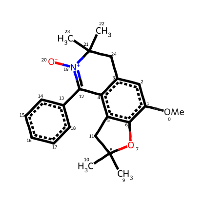 COc1cc2c(c3c1OC(C)(C)C3)C(c1ccccc1)=[N+]([O-])C(C)(C)C2